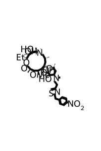 CC[C@H]1OC(=O)[C@H](C)[C@@H](OC)[C@H](C)[C@@H](O[C@@H]2O[C@H](C)C[C@H](N(C)CCc3csc(Cc4ccc([N+](=O)[O-])cc4)n3)[C@H]2O)[C@](C)(O)C[C@@H](C)CN(C)[C@H](C)[C@@H](O)[C@]1(C)O